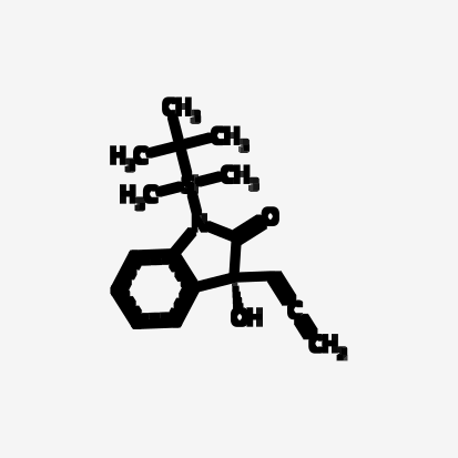 C=C=C[C@]1(O)C(=O)N([Si](C)(C)C(C)(C)C)c2ccccc21